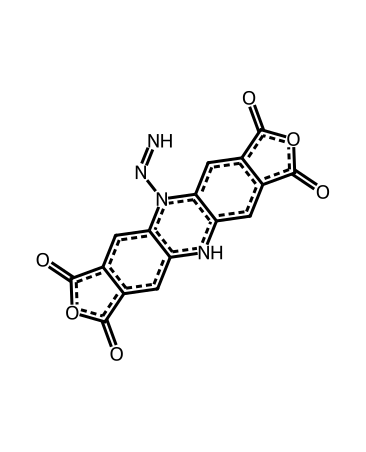 N=Nn1c2cc3c(=O)oc(=O)c3cc2[nH]c2cc3c(=O)oc(=O)c3cc21